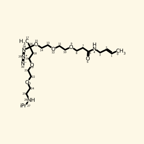 C/C=C/CNC(=O)CCOCCOCCOC(C)(CCOCCOCCNC(C)C)N=[N+]=[N-]